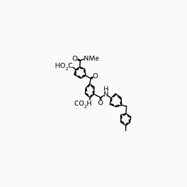 CNC(=O)c1cc(C(=O)c2ccc(C(=O)O)c(C(=O)Nc3ccc(Cc4ccc(C)cc4)cc3)c2)ccc1C(=O)O